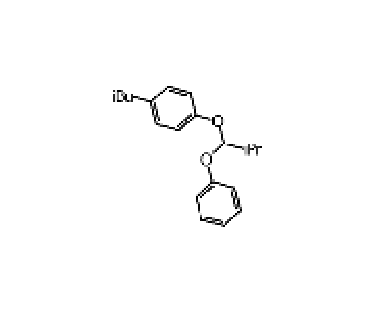 CCC(C)c1ccc(OC(Oc2ccccc2)C(C)C)cc1